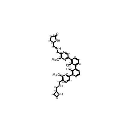 COc1nc(-c2cccc(-c3cccc(-c4cnc(CNCC5CCC(=O)N5)c(OC)n4)c3Cl)c2Cl)cnc1CNCC1CCN1